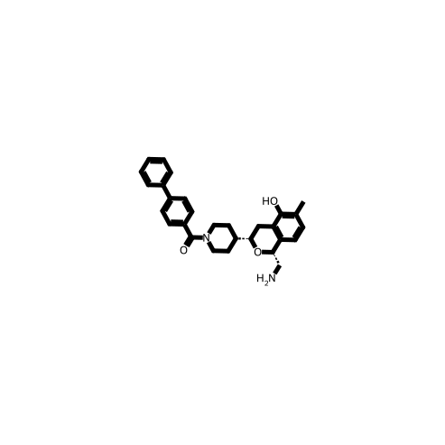 Cc1ccc2c(c1O)C[C@@H](C1CCN(C(=O)c3ccc(-c4ccccc4)cc3)CC1)O[C@H]2CN